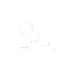 C=CC(=O)n1c(NC(=O)C(Br)(Br)Br)nc2ccccc21